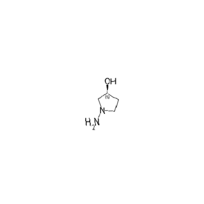 NN1CC[C@H](O)C1